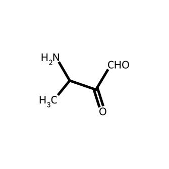 CC(N)C(=O)C=O